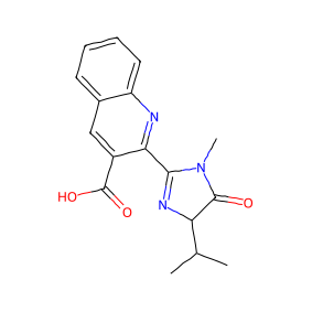 CC(C)C1N=C(c2nc3ccccc3cc2C(=O)O)N(C)C1=O